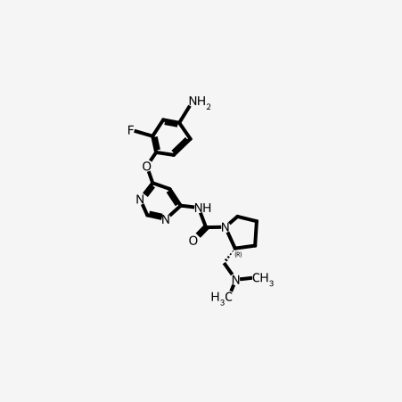 CN(C)C[C@H]1CCCN1C(=O)Nc1cc(Oc2ccc(N)cc2F)ncn1